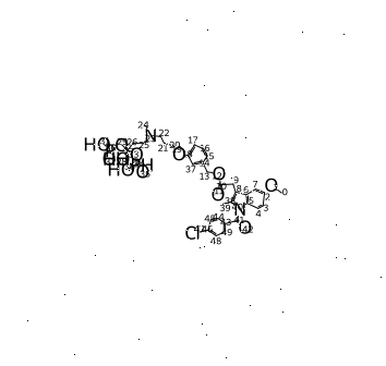 COc1ccc2c(c1)c(CC(=O)OCc1cccc(OCCCN(C)CCC(O)(OP(O)O)O[PH](=O)O)c1)c(C)n2C(=O)c1ccc(Cl)cc1